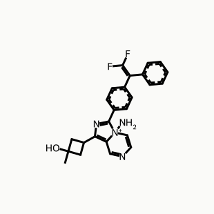 CC1(O)CC(C2=C3C=NC=C[N+]3(N)C(c3ccc(C(=C(F)F)c4ccccc4)cc3)=N2)C1